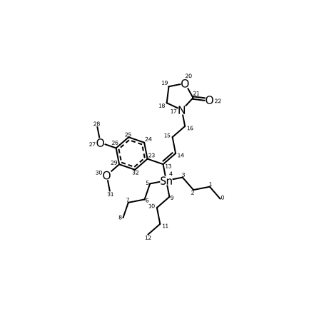 CCC[CH2][Sn]([CH2]CCC)([CH2]CCC)/[C](=C/CCN1CCOC1=O)c1ccc(OC)c(OC)c1